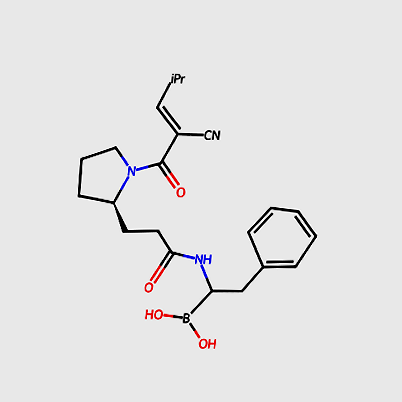 CC(C)C=C(C#N)C(=O)N1CCC[C@@H]1CCC(=O)NC(Cc1ccccc1)B(O)O